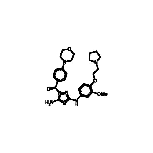 COc1cc(Nc2nc(N)n(C(=O)c3ccc(N4CCOCC4)cc3)n2)ccc1OCCN1CCCC1